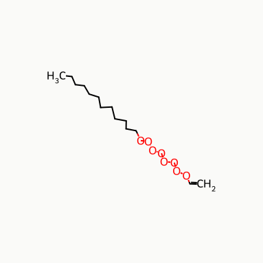 C=COOOOOOOOCCCCCCCCCCCC